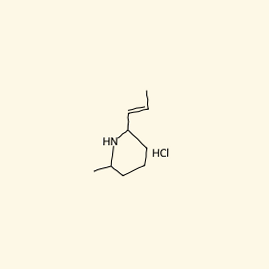 C/C=C/C1CCCC(C)N1.Cl